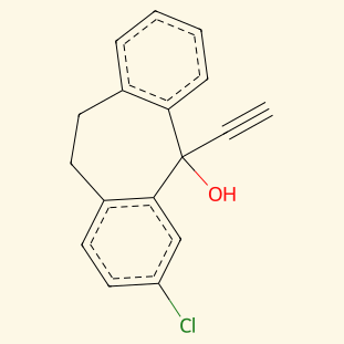 C#CC1(O)c2ccccc2CCc2ccc(Cl)cc21